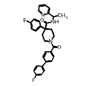 CC(NC(=O)C1(c2ccc(F)cc2)CCN(C(=O)c2ccc(-c3ccc(F)cc3)cc2)CC1)c1ccccn1